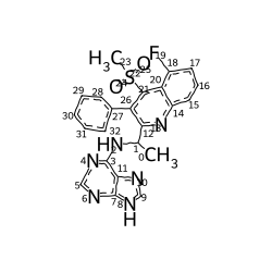 CC(Nc1ncnc2[nH]cnc12)c1nc2cccc(F)c2c(S(C)(=O)=O)c1-c1ccccc1